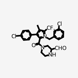 Cc1c(-c2ccc(Cl)cc2)c(C(=O)N2CCNC(C=O)C2)n(Cc2cccc(Cl)c2)c1C(F)(F)F